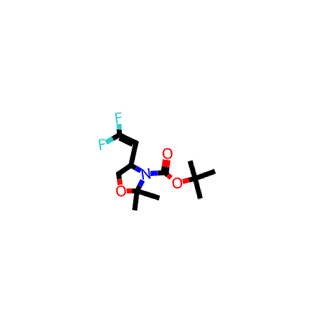 CC(C)(C)OC(=O)N1C(C=C(F)F)COC1(C)C